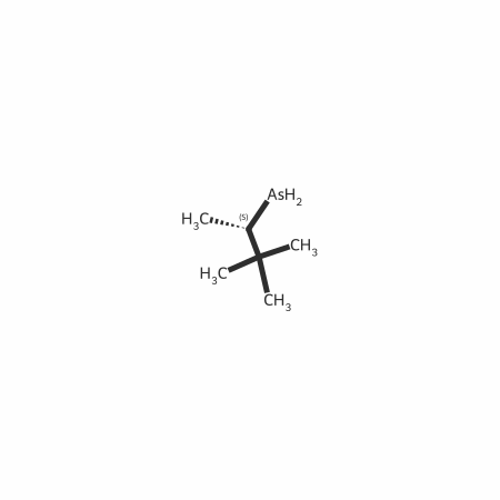 C[C@H]([AsH2])C(C)(C)C